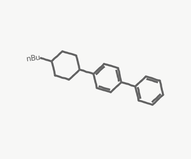 CCCCC1CCC(c2ccc(-c3ccccc3)cc2)CC1